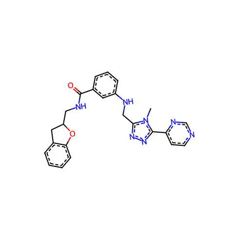 Cn1c(CNc2cccc(C(=O)NCC3Cc4ccccc4O3)c2)nnc1-c1ccncn1